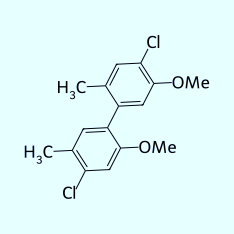 COc1cc(-c2cc(C)c(Cl)cc2OC)c(C)cc1Cl